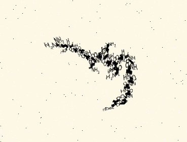 CCCCCCCCCCCC(=O)C(C)C(=O)N1CCC[C@H]1C(=O)NC(C)(C)C(=O)NC(C)(C)C(=O)NC(C)(C)C(=O)NC(C)(C)C(=O)N[C@@H](C)C(=O)N[C@@H](C)C(=O)NC(C)(C)C(=O)N[C@H](C(=O)NC(C)(C)C(=O)N[C@@H](CC(=O)[C@H](C)N)C(=O)NC(C)(C)C(=O)N[C@@H](CC(=O)[C@H](C)N)C(=O)NC(C)(C)C(=O)NC(C)(C)C(=O)NC(C)(C)C(=O)N[C@@H](C)C(=O)N[C@H](CO)CCCN=C(N)N)C(C(=O)[C@H](C)N)C(C)C